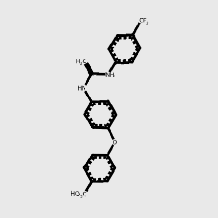 C=C(Nc1ccc(Oc2ccc(C(=O)O)cc2)cc1)Nc1ccc(C(F)(F)F)cc1